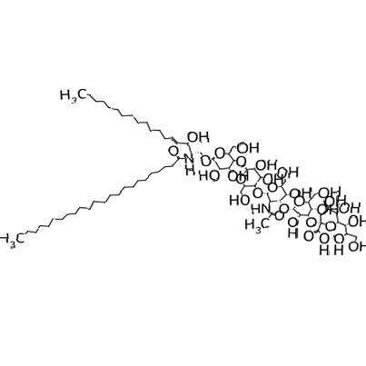 CCCCCCCCCCCCC/C=C/[C@@H](O)[C@H](CO[C@@H]1OC(CO)[C@@H](O[C@@H]2OC(CO)[C@H](O[C@@H]3OC(CO)[C@H](O)[C@H](O[C@@H]4OC(CO)[C@H](O)[C@H](O[C@]5(C(=O)O)CC(O)[C@@H](O)C([C@H](O)[C@H](O)CO)O5)C4O)C3NC(C)=O)[C@H](O)C2O)[C@H](O)C1O)NC(=O)CCCCCCCCCCCCCCCCCCCCCCC